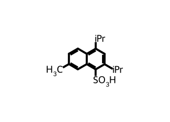 Cc1ccc2c(C(C)C)cc(C(C)C)c(S(=O)(=O)O)c2c1